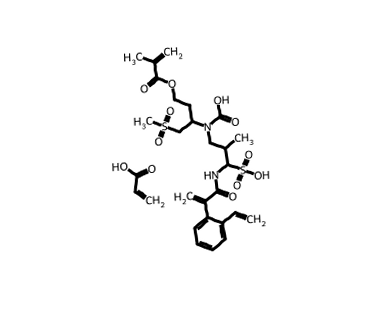 C=CC(=O)O.C=Cc1ccccc1C(=C)C(=O)NC(C(C)CN(C(=O)O)C(CCOC(=O)C(=C)C)CS(C)(=O)=O)S(=O)(=O)O